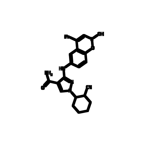 CC(C)C1=CB(O)Oc2ccc(Nc3nn(C4CCCCC4C#N)cc3C(N)=O)cc21